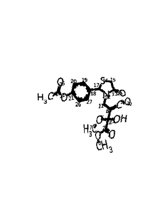 COC(=O)C(O)(OC)C(=C=O)CN1C(=O)CSC1c1ccc(OC(C)=O)cc1